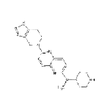 CN(c1ccc2nc(N3CCc4[nH]ncc4C3)ccc2n1)C1CCNCC1